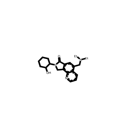 CCN(CC)Cc1cc2c(c3ncccc13)CN(C1CCCCC1O)C2=O